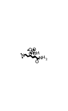 CN(C)CCCC=CC(N)=O.COS(=O)(=O)O